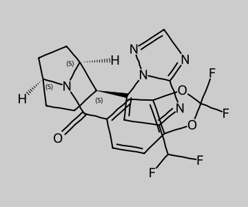 O=C(c1ccc2c(c1)OC(F)(F)O2)N1[C@H]2CC[C@H](c3cc(C(F)F)nc4ncnn34)[C@@H]1CC2